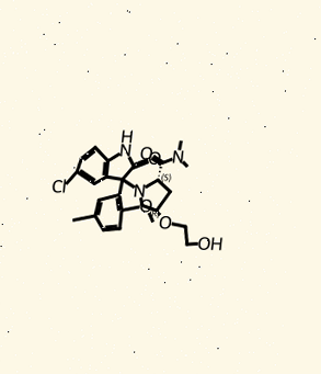 COc1ccc(C)cc1C1(N2C[C@H](OCCO)C[C@H]2C(=O)N(C)C)C(=O)Nc2ccc(Cl)cc21